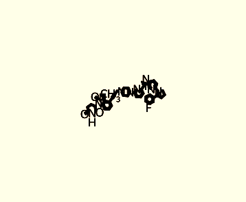 Cn1c(=O)n(C2CCC(=O)NC2=O)c2cccc(C#CCN3CCN(c4cccc(-c5cnc6ccc(N7CCCC7c7cccc(F)c7)nn56)n4)CC3)c21